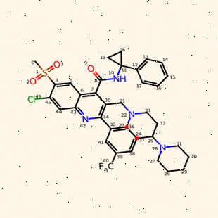 CS(=O)(=O)c1cc2c(C(=O)NC3(c4ccccc4)CC3)c(CN3CCC(N4CCCCC4)CC3)c(-c3cccc(C(F)(F)F)c3)nc2cc1Cl